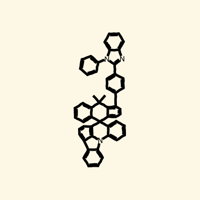 CC1(C)c2ccccc2C2(c3ccccc3-n3c4ccccc4c4cccc2c43)c2cccc(-c3ccc(-c4nc5ccccc5n4-c4ccccc4)cc3)c21